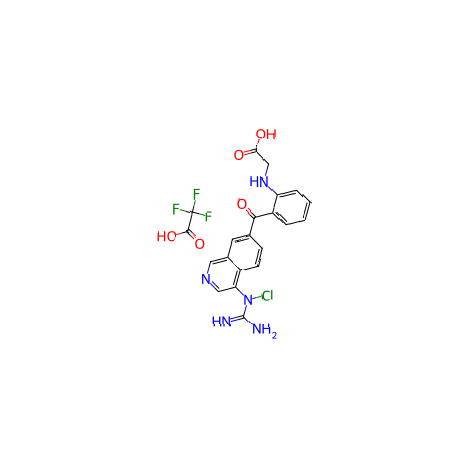 N=C(N)N(Cl)c1cncc2cc(C(=O)c3ccccc3NCC(=O)O)ccc12.O=C(O)C(F)(F)F